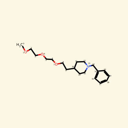 COCCOCCOCCC1CCN(Cc2ccccc2)CC1